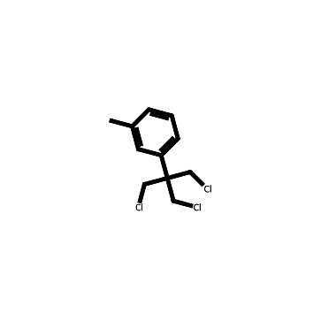 Cc1cccc(C(CCl)(CCl)CCl)c1